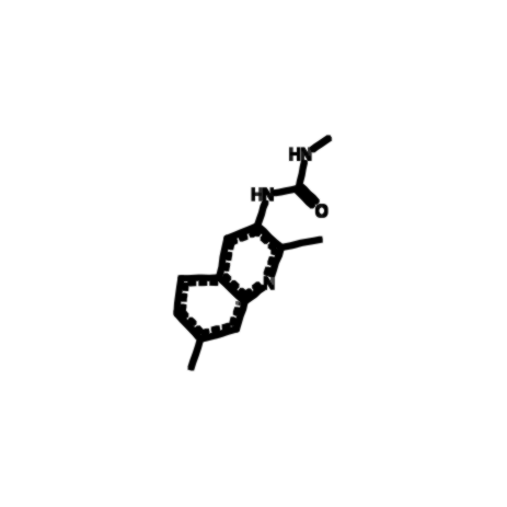 CNC(=O)Nc1cc2ccc(C)cc2nc1C